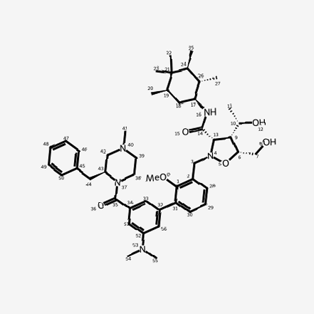 COc1c(CN2O[C@@H](CO)[C@@H]([C@H](C)O)[C@H]2C(=O)N[C@H]2C[C@@H](C)C(C)(C)[C@@H](C)[C@@H]2C)cccc1-c1cc(C(=O)N2CCN(C)C[C@@H]2Cc2ccccc2)cc(N(C)C)c1